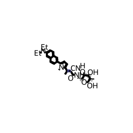 CCN(CC)c1ccc2cc(-c3ccc(/C(C)=C(\C#N)C(=O)NC[C@H]4OC(O)[C@H](C)[C@@H](O)[C@@H]4O)n3C)ccc2c1